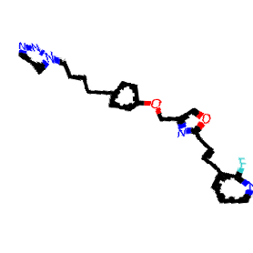 Fc1ncccc1/C=C/c1nc(COc2ccc(CCCCn3ccnn3)cc2)co1